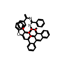 C=C/C(=N\C(=N/C(=C)c1ccccc1)c1ccccc1)c1cc(-c2ccccc2-c2cc3ccccc3c3ccccc23)cc2oc3ccccc3c12